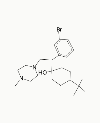 CN1CCN(CC(c2cccc(Br)c2)C2(O)CCC(C(C)(C)C)CC2)CC1